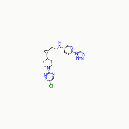 Clc1cnc(N2CCC([C@H]3C[C@H]3CCNc3ccc(-n4cnnn4)nc3)CC2)nc1